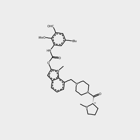 COc1c(C=O)cc(C(C)(C)C)cc1NC(=O)Oc1cc2cccc(CN3CCN(C(=O)[C@@H]4CCCN4C)CC3)c2n1C